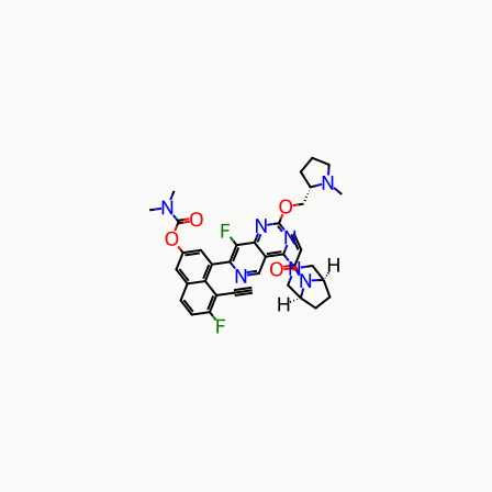 C#Cc1c(F)ccc2cc(OC(=O)N(C)C)cc(-c3ncc4c(N5C[C@H]6CC[C@@H](C5)N6C(=O)C=C)nc(OC[C@@H]5CCCN5C)nc4c3F)c12